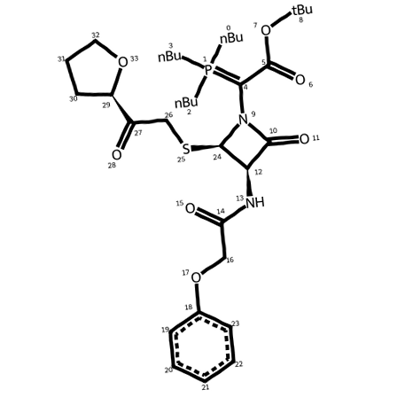 CCCCP(CCCC)(CCCC)=C(C(=O)OC(C)(C)C)N1C(=O)[C@@H](NC(=O)COc2ccccc2)[C@H]1SCC(=O)[C@H]1CCCO1